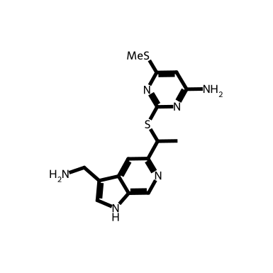 CSc1cc(N)nc(SC(C)c2cc3c(CN)c[nH]c3cn2)n1